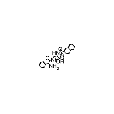 NC(C(=O)NCC(NS(=O)(=O)c1ccc2ccccc2c1)C(=O)O)c1ccccc1